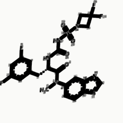 CN(C(=O)[C@H](Cc1cc(F)cc(F)c1)NC(=O)NS(=O)(=O)N1CC(F)(F)C1)c1ccc2scnc2c1